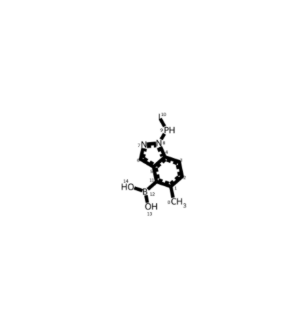 Cc1ccc2c(cnn2PI)c1B(O)O